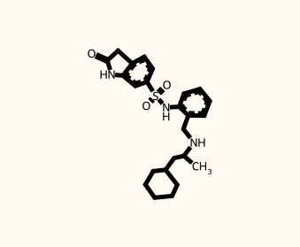 CC(CC1CCCCC1)NCc1ccccc1NS(=O)(=O)c1ccc2c(c1)NC(=O)C2